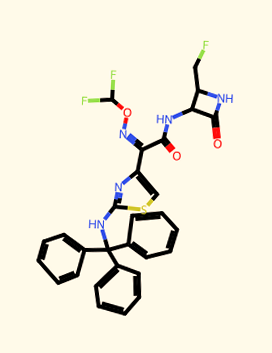 O=C(NC1C(=O)NC1CF)C(=NOC(F)F)c1csc(NC(c2ccccc2)(c2ccccc2)c2ccccc2)n1